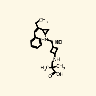 CCC(=Cc1ccccc1)C1C[C@@H]1NCC1CC(NCC(C)(C)C(=O)O)C1.Cl.Cl